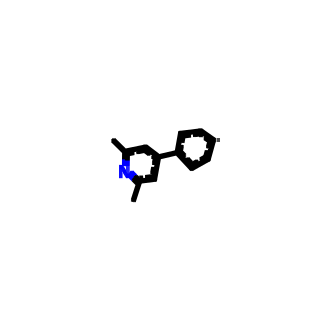 Cc1cc(-c2cc[c]cc2)cc(C)n1